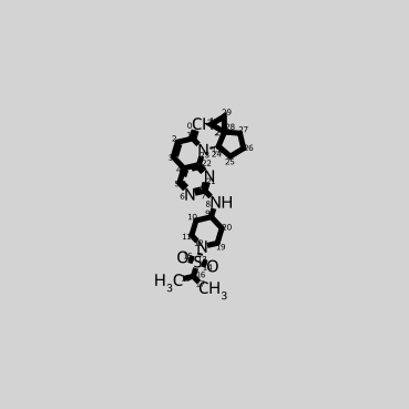 C=C1C=Cc2cnc(NC3CCN(S(=O)(=O)C(C)C)CC3)nc2N1[C@H]1CCCC12CC2